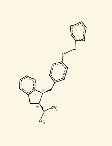 CN(C)[C@H]1Cc2ccccc2[C@H]1Cc1ccc(OCc2ccccc2)cc1